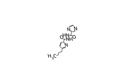 CCCCc1ccc(C(=O)NNC(=O)c2cnccn2)nc1